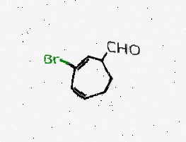 O=CC1C=C(Br)C=CCC1